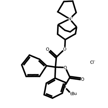 CC(C)(C)OC(=O)OC(C(=O)OC1CC2CCC(C1)[N+]21CCCC1)(c1ccccc1)c1ccccc1.[Cl-]